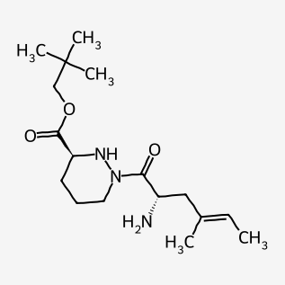 C/C=C(\C)C[C@H](N)C(=O)N1CCC[C@@H](C(=O)OCC(C)(C)C)N1